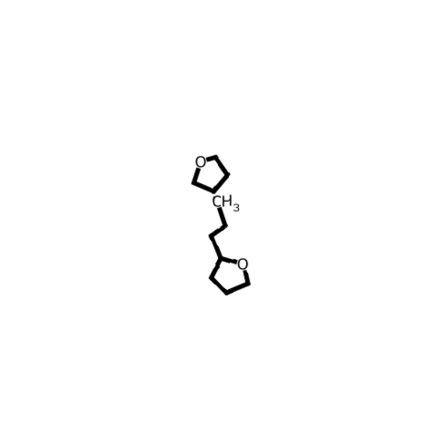 C1CCOC1.CCCC1CCCO1